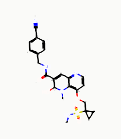 CNS(=O)(=O)C1(COc2ccnc3c2N(C)C(O)C(C(=O)NCc2ccc(C#N)cc2)=C3)CC1